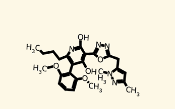 CCCCc1nc(O)c(-c2nnc(Cc3cc(C)nn3C)o2)c(O)c1-c1c(OC)cccc1OC